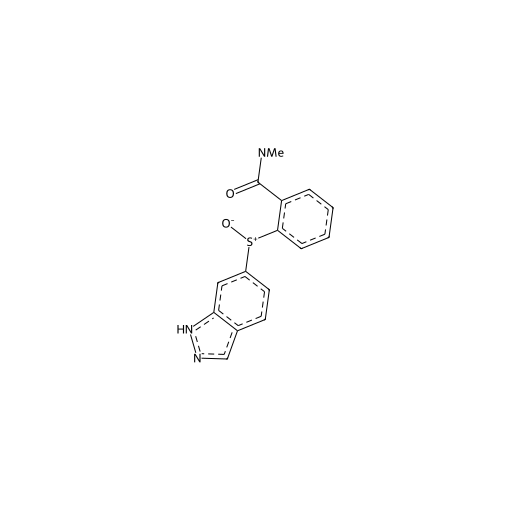 CNC(=O)c1ccccc1[S+]([O-])c1ccc2cn[nH]c2c1